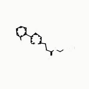 O=C(O)CSC(=O)CCc1ccc(-c2ccccc2Cl)cc1